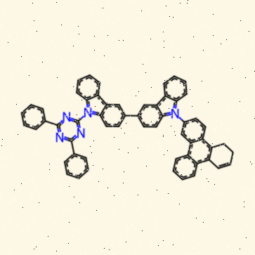 C1=Cc2c(c3ccc(-n4c5ccccc5c5cc(-c6ccc7c(c6)c6ccccc6n7-c6nc(-c7ccccc7)nc(-c7ccccc7)n6)ccc54)cc3c3ccccc23)CC1